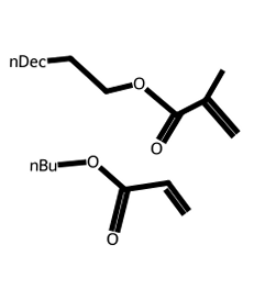 C=C(C)C(=O)OCCCCCCCCCCCC.C=CC(=O)OCCCC